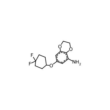 Nc1cc(OC2CCC(F)(F)CC2)cc2c1OCCO2